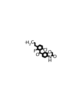 [CH2]CCc1ccc(Cl)c(C(=O)c2ccc3c(c2)OCC(=O)N3)c1F